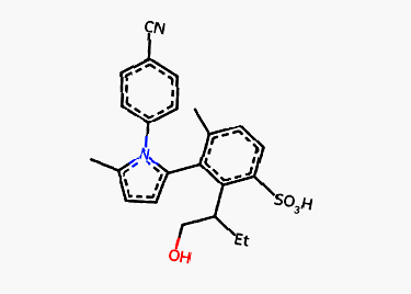 CCC(CO)c1c(S(=O)(=O)O)ccc(C)c1-c1ccc(C)n1-c1ccc(C#N)cc1